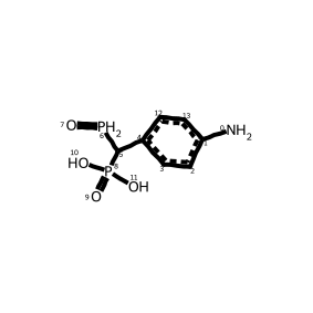 Nc1ccc(C([PH2]=O)P(=O)(O)O)cc1